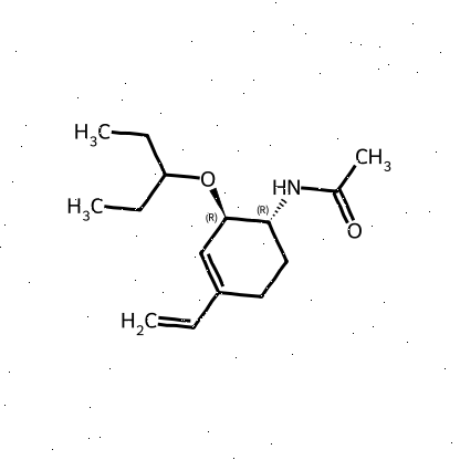 C=CC1=C[C@@H](OC(CC)CC)[C@H](NC(C)=O)CC1